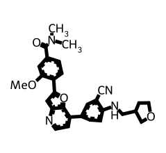 COc1cc(C(=O)N(C)C)ccc1-c1cc2nccc(-c3ccc(NCC4CCOC4)c(C#N)c3)c2o1